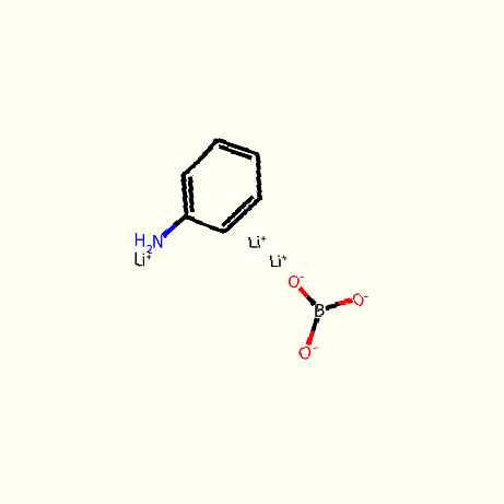 Nc1ccccc1.[Li+].[Li+].[Li+].[O-]B([O-])[O-]